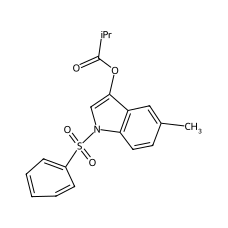 Cc1ccc2c(c1)c(OC(=O)C(C)C)cn2S(=O)(=O)c1ccccc1